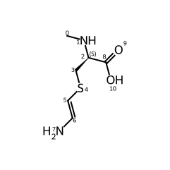 CN[C@H](CSC=CN)C(=O)O